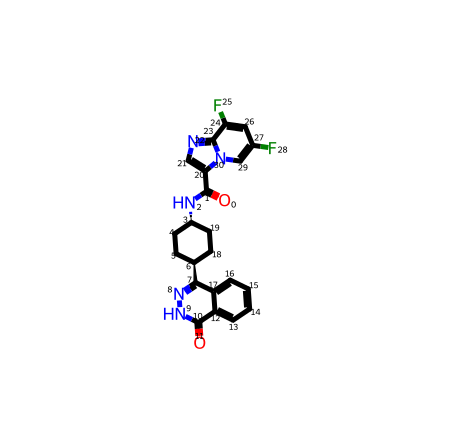 O=C(N[C@H]1CC[C@H](c2n[nH]c(=O)c3ccccc32)CC1)c1cnc2c(F)cc(F)cn12